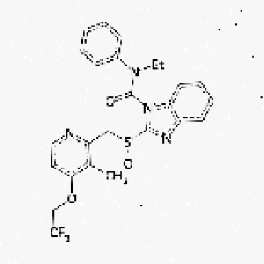 [CH2]CN(C(=O)n1c([S@+]([O-])Cc2nccc(OCC(F)(F)F)c2C)nc2ccccc21)c1ccccc1